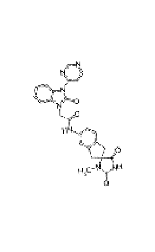 CN1C(=O)NC(=O)C12Cc1ccc(NC(=O)Cn3c(=O)n(-c4ccncn4)c4ccccc43)cc1C2